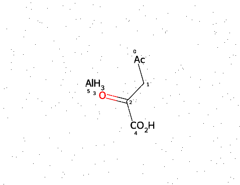 CC(=O)CC(=O)C(=O)O.[AlH3]